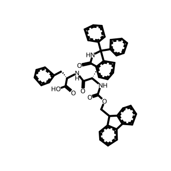 O=C(C[C@H](NC(=O)OCC1c2ccccc2-c2ccccc21)C(=O)N[C@@H](Cc1ccccc1)C(=O)O)NC(c1ccccc1)(c1ccccc1)c1ccccc1